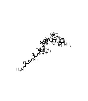 CC(C)(COP(=O)(O)OP(=O)(O)OC[C@H]1O[C@@H](n2cnc3c(N)ncnc32)[C@H](O)[C@@H]1OP(=O)(O)O)C(O)C(=O)NCCC(=O)NCCSCC(=O)CCN